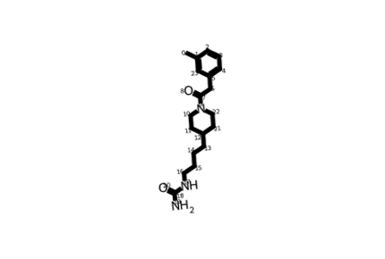 Cc1cccc(CC(=O)N2CCC(CCCCNC(N)=O)CC2)c1